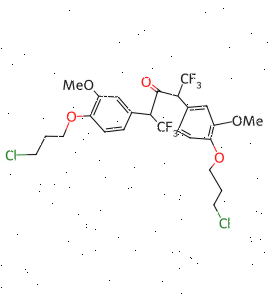 COc1cc(C(C(=O)C(c2ccc(OCCCCl)c(OC)c2)C(F)(F)F)C(F)(F)F)ccc1OCCCCl